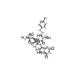 CCC(C)[C@H](NCCc1ccc(F)cc1)C(=O)N[C@]1(C(=O)NC(C(N)=O)[C@@H](C)CC)CCc2[nH]c3c(Cl)cc(Cl)cc3c2C1